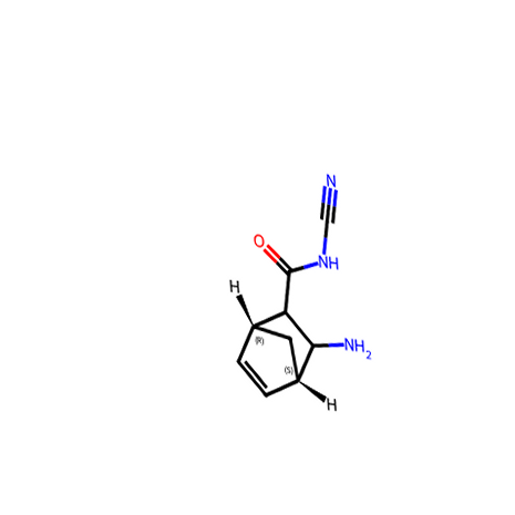 N#CNC(=O)C1C(N)[C@@H]2C=C[C@H]1C2